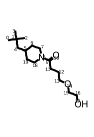 CC(C)(C)CC1CCN(C(=O)CCCOCCO)CC1